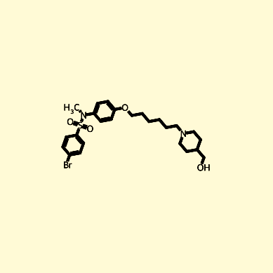 CN(c1ccc(OCCCCCCN2CCC(CO)CC2)cc1)S(=O)(=O)c1ccc(Br)cc1